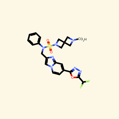 O=C(O)N1CC2(C1)CN(S(=O)(=O)N(Cc1cn3ccc(-c4nnc(C(F)F)o4)cc3n1)c1ccccc1)C2